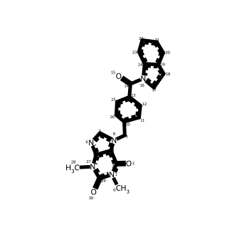 Cn1c(=O)c2c(ncn2Cc2ccc(C(=O)n3ccc4ccccc43)cc2)n(C)c1=O